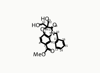 COC(=O)c1ccc2c(c1)N(Cc1ccccc1)C(=O)C(CO)(CO)O2